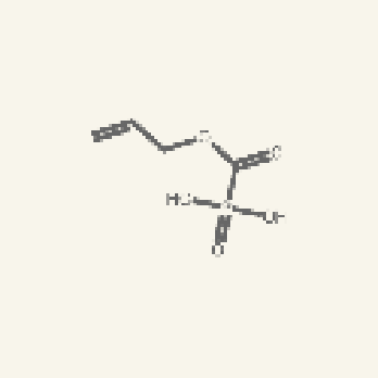 C=CCOC(=O)P(=O)(O)O